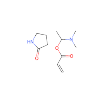 C=CC(=O)OC(C)N(C)C.O=C1CCCN1